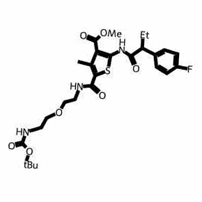 CCC(C(=O)Nc1sc(C(=O)NCCOCCNC(=O)OC(C)(C)C)c(C)c1C(=O)OC)c1ccc(F)cc1